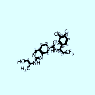 C[C@@H](CO)Nc1ncc2c(n1)CN(C(=O)NC(CC(F)(F)F)c1ccc(Cl)c(Cl)c1)CC2